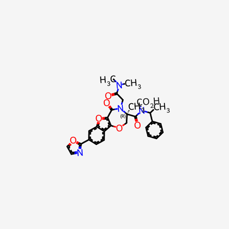 CC(c1ccccc1)N(C(=O)O)C(=O)[C@@]1(C)COc2c(oc3cc(-c4ncco4)ccc23)C(=O)N1CC(=O)N(C)C